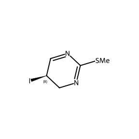 CSC1=NC[C@@H](I)C=N1